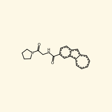 O=C(NCC(=O)N1CCCC1)c1ccc2cc3cccccc-3c2c1